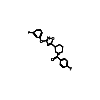 O=C(c1ccc(F)cc1)N1CCCC(c2nc(Oc3cccc(F)c3)no2)C1